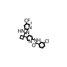 O=C(Nc1ccc(C2(c3nc4ncc(C(F)(F)F)cc4[nH]3)CCC2)cn1)c1cccc(Cl)c1